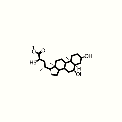 COC(=O)C(S)C[C@@H](C)[C@H]1CCC2C3C[C@H](O)[C@@H]4C[C@H](O)CC[C@]4(C)C3CC[C@@]21C